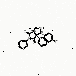 O=C1[C@@H]2CN[C@H](c3ccc(F)cc3)[C@]2(c2ccccc2)C(=O)N1c1ccccc1